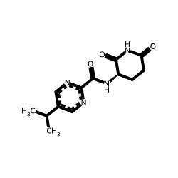 CC(C)c1cnc(C(=O)N[C@@H]2CCC(=O)NC2=O)nc1